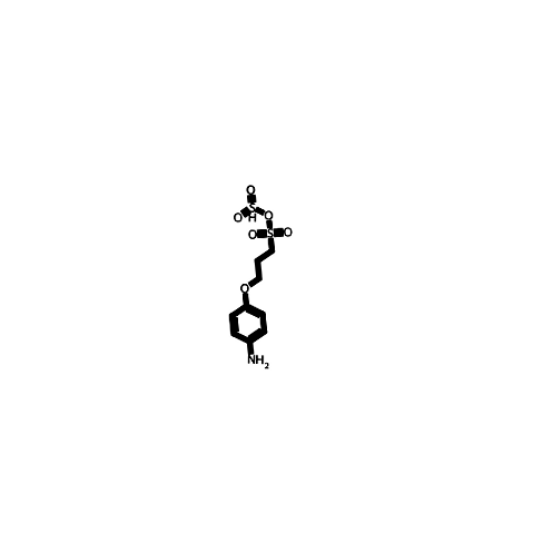 Nc1ccc(OCCCS(=O)(=O)O[SH](=O)=O)cc1